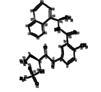 Cc1ccc(NC(=O)[C@H](CN)NS(C)(=O)=O)cc1C(=O)N[C@H](C)c1cccc2ccccc12